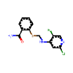 NC(=O)c1ccccc1SCNc1cc(Cl)ncc1Br